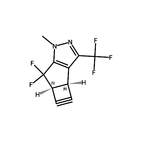 Cn1nc(C(F)(F)F)c2c1C(F)(F)[C@@H]1C#C[C@H]21